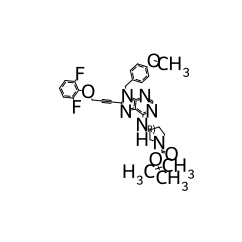 COc1ccc(Cn2c(C#CCOc3c(F)cccc3F)nc3c(N[C@@H]4CCN(C(=O)OC(C)(C)C)C4)ncnc32)cc1